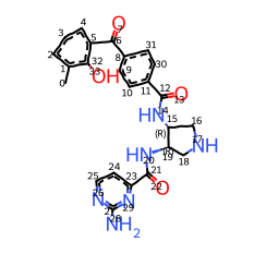 Cc1cccc(C(=O)c2ccc(C(=O)N[C@@H]3CNC[C@H]3NC(=O)c3ccnc(N)n3)cc2)c1O